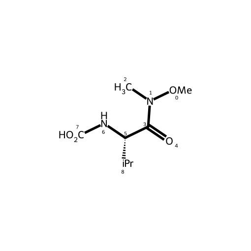 CON(C)C(=O)[C@@H](NC(=O)O)C(C)C